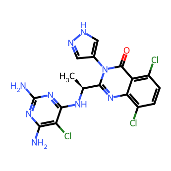 C[C@H](Nc1nc(N)nc(N)c1Cl)c1nc2c(Cl)ccc(Cl)c2c(=O)n1-c1cn[nH]c1